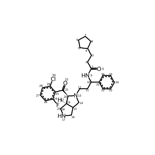 O=C(CCC1CCCC1)NC(CCN1CC2CNC[C@H]2[C@H]1C(=O)c1c(F)cccc1Cl)c1ccccc1